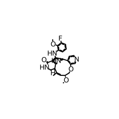 COc1c(F)cccc1Nc1c2[nH]c3c1C(=O)NC[C@H]3/C(C)=C\[C@H](OC)COc1cnccc1-2